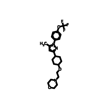 Cc1cc(C2CCC(OCCN3CCOCC3)CC2)nn1-c1ccc(OC(F)(F)F)cc1